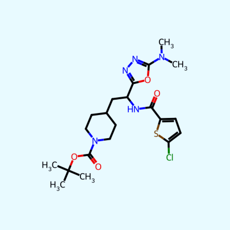 CN(C)c1nnc(C(CC2CCN(C(=O)OC(C)(C)C)CC2)NC(=O)c2ccc(Cl)s2)o1